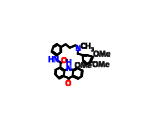 COc1ccc(CN(C)CCCc2cccc(NC(=O)c3cccc4c(=O)c5cccc(OC)c5[nH]c34)c2)cc1OC